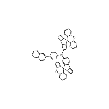 c1ccc2c(c1)Oc1ccccc1C21c2ccccc2-c2cc(N(c3ccc(-c4ccc5ccccc5c4)cc3)c3ccc4c(c3)C3(c5ccccc5Oc5ccccc53)c3ccccc3-4)ccc21